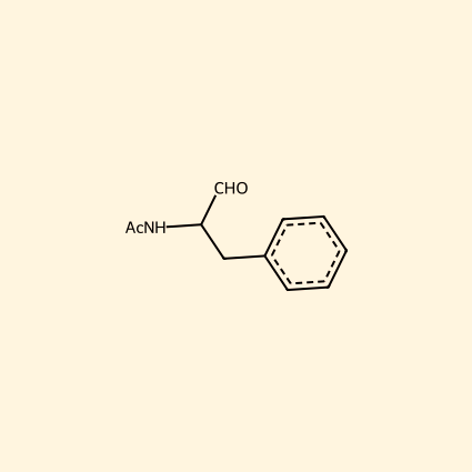 CC(=O)NC(C=O)Cc1ccccc1